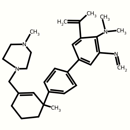 C=Nc1cc(-c2ccc(C3(C)C=C(CN4CCN(C)CC4)CCC3)cc2)cc(C(=C)C)c1N(C)C